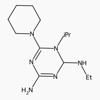 CCNC1N=C(N)N=C(N2CCCCC2)N1C(C)C